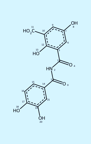 O=C(NC(=O)c1cc(O)cc(C(=O)O)c1O)c1ccc(O)c(O)c1